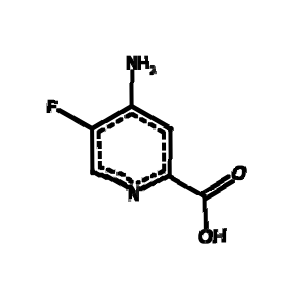 Nc1cc(C(=O)O)ncc1F